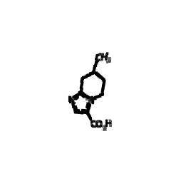 CC1CCn2c(C(=O)O)cnc2C1